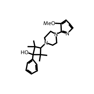 COc1cccnc1N1CCN(C2C(C)(C)C(O)(c3ccccc3)C2(C)C)CC1